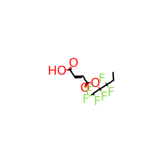 CCC(F)(F)C(F)(OC(=O)C=CC(=O)O)C(F)(F)F